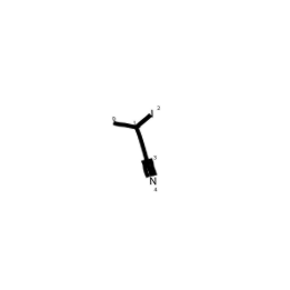 C[C](I)C#N